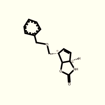 O=C1N[C@@H]2C=C[C@@H](COCc3ccccc3)C2O1